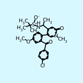 COc1ccc(-c2cn(C)c(=O)cc2C(C)N[S+]([O-])C(C)(C)C)c(C(=O)c2ccc(Cl)cc2)c1